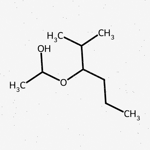 CCCC(OC(C)O)C(C)C